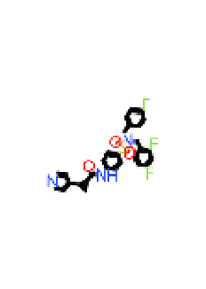 O=C(Nc1ccc(S(=O)(=O)N(Cc2ccc(F)cc2)Cc2ccc(F)cc2F)cc1)C1CC1c1ccncc1